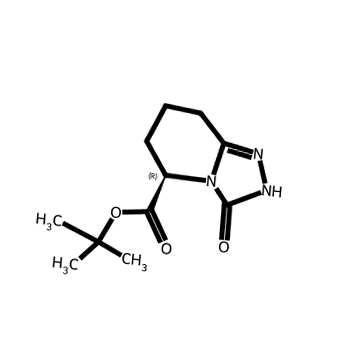 CC(C)(C)OC(=O)[C@H]1CCCc2n[nH]c(=O)n21